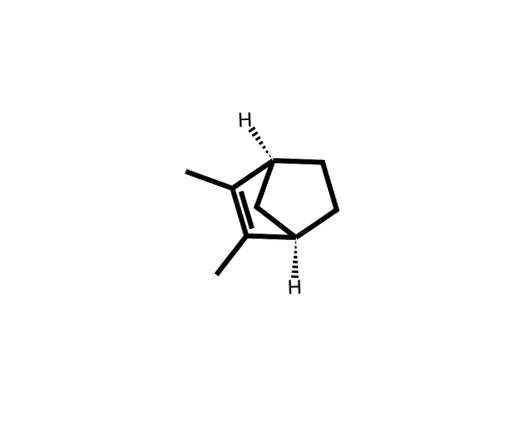 CC1=C(C)[C@H]2CC[C@@H]1C2